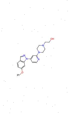 CC(C)Oc1ccc2cnn(-c3ccnc(N4CCN(CCO)CC4)c3)c2c1